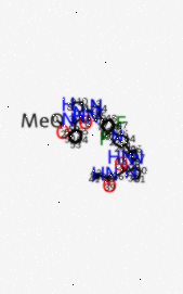 COC(=O)N[C@@H](C(=O)N1CCC[C@H]1c1ncc(-c2cc(F)c(N3CCC(c4cnc([C@@H]5CCCN5C(=O)CNC(=O)C5CC5)[nH]4)CC3)c(F)c2)[nH]1)c1ccccc1